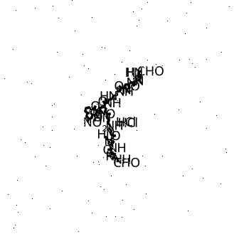 Cl.Cl.Cn1cc(NC(=O)c2cc(NC=O)cn2C)cc1C(=O)NCCNCCNC(=O)c1cc(C(=O)NCCNCCNC(=O)c2cc(NC(=O)c3cc(NC=O)cn3C)cn2C)cc(N2C(=O)c3cccc4cc([N+](=O)[O-])cc(c34)C2=O)c1